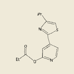 CCC(=O)Oc1cc(-c2nc(C(C)C)cs2)ccn1